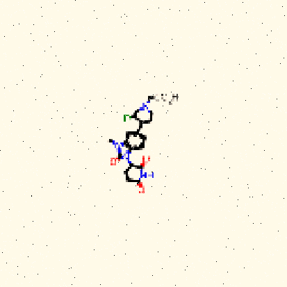 Cn1c(=O)n(C2CCC(=O)NC2=O)c2ccc(C3CCN(CC(=O)O)CC3F)cc21